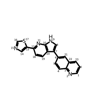 c1cnc2ccc(-c3c[nH]c4nc(-c5cncs5)ccc34)cc2c1